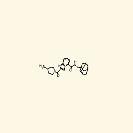 NC1CCN(C(=O)c2cn3c(C(=O)NCC45CC6CC(CC(C6)C4)C5)cccc3n2)CC1